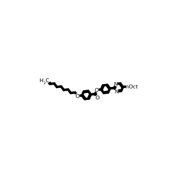 C=CCCCCCCCOc1ccc(C(=O)Oc2ccc(-c3ncc(CCCCCCCC)cn3)cc2)cc1